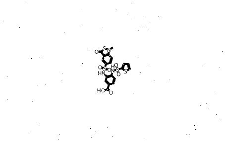 Cn1sc(=O)c2cc(S(=O)(=O)Nc3cc(C(=O)O)ccc3NS(=O)(=O)c3cccs3)ccc21